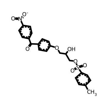 Cc1ccc(S(=O)(=O)OCC(O)COc2ccc(C(=O)c3ccc([N+](=O)[O-])cc3)cc2)cc1